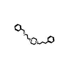 c1ccc(CCCN2CCN(CCSCc3ccccc3)CC2)cc1